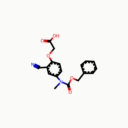 CN(C(=O)OCc1ccccc1)c1ccc(OCC(=O)O)c(C#N)c1